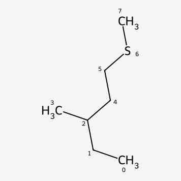 CCC(C)CCSC